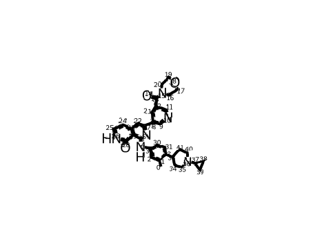 Cc1cc(Nc2nc(-c3cncc(C(=O)N4CCOCC4)c3)cc3cc[nH]c(=O)c23)ccc1C1CCN(C2CC2)CC1